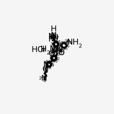 CN(C)CCCOc1ccc(-c2ccc(C[C@@H](C(N)=O)N(c3ccc(-c4nn[nH]n4)cc3)C(=O)[C@H]3CC[C@H](CN)CC3)cc2)cn1.Cl